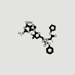 COc1nc(N)nc2c1ncn2C1OC(CO[P@@](=O)(N[C@@H](C)C(=O)OC2CCCC2)Oc2ccccc2)CC1(C)F